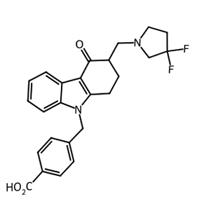 O=C(O)c1ccc(Cn2c3c(c4ccccc42)C(=O)C(CN2CCC(F)(F)C2)CC3)cc1